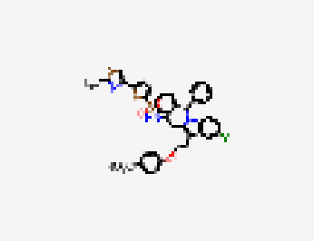 Cc1nc(-c2ccc(S(=O)(=O)NCCc3c(CCOc4ccc(C(=O)O)cc4)c4cc(Cl)ccc4n3C(c3ccccc3)c3ccccc3)s2)cs1